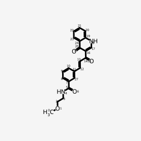 COCCNC(=O)c1cccc(/C=C/C(=O)c2c[nH]c3ccccc3c2=O)c1